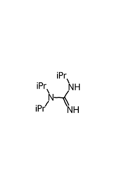 CC(C)NC(=N)N(C(C)C)C(C)C